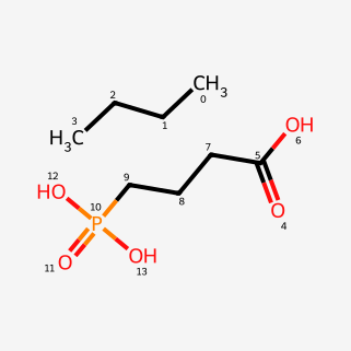 CCCC.O=C(O)CCCP(=O)(O)O